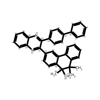 CC1(C)c2ccccc2-c2cc(-c3nc4ccccc4nc3-c3ccc(-c4ccccc4)cc3)ccc2C1(C)C